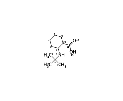 CC(C)(C)NC1CCCCC1C(=O)O